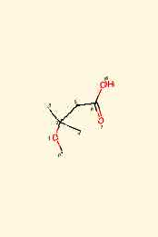 COC(C)(C)CC(=O)O